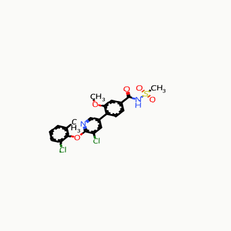 COc1cc(C(=O)NS(C)(=O)=O)ccc1-c1cnc(Oc2c(C)cccc2Cl)c(Cl)c1